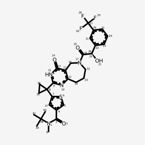 CN(C(=O)c1csc(C2(c3nc4c(c(=O)[nH]3)CN(C(=O)[C@H](O)c3cccc(C(F)(F)F)c3)CCC4)CC2)c1)C(C)(C)C